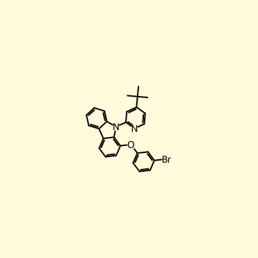 CC(C)(C)c1ccnc(-n2c3ccccc3c3cccc(Oc4cccc(Br)c4)c32)c1